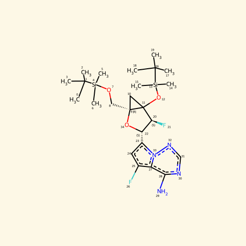 CC(C)(C)[Si](C)(C)OC[C@]12CC1(O[Si](C)(C)C(C)(C)C)[C@@H](F)[C@H](c1cc(F)c3c(N)ncnn13)O2